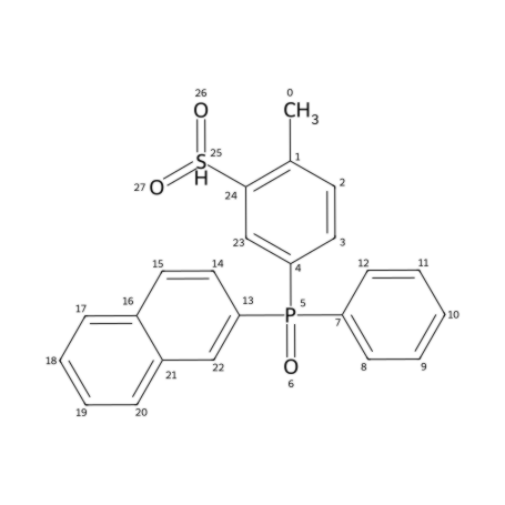 Cc1ccc(P(=O)(c2ccccc2)c2ccc3ccccc3c2)cc1[SH](=O)=O